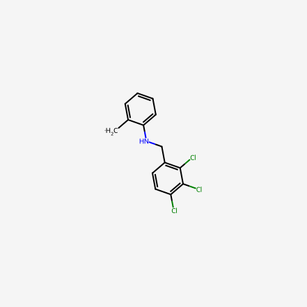 [CH2]c1ccccc1NCc1ccc(Cl)c(Cl)c1Cl